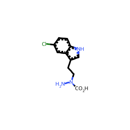 NN(CCc1c[nH]c2ccc(Cl)cc12)C(=O)O